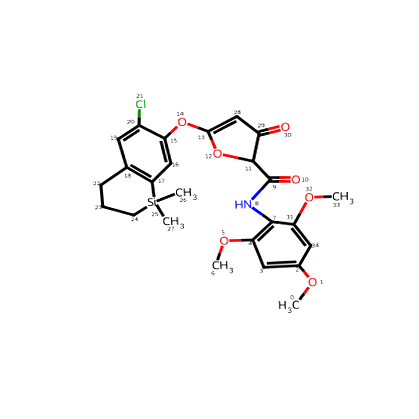 COc1cc(OC)c(NC(=O)C2OC(Oc3cc4c(cc3Cl)CCC[Si]4(C)C)=CC2=O)c(OC)c1